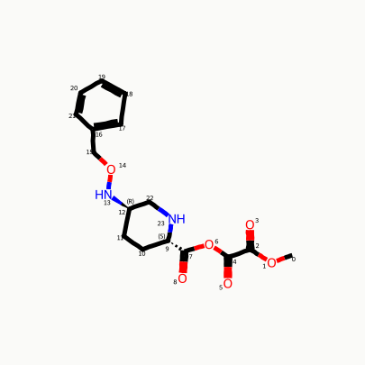 COC(=O)C(=O)OC(=O)[C@@H]1CC[C@@H](NOCc2ccccc2)CN1